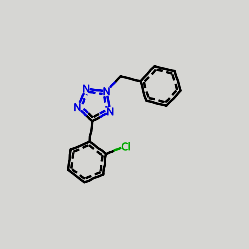 Clc1ccccc1-c1nnn(Cc2ccccc2)n1